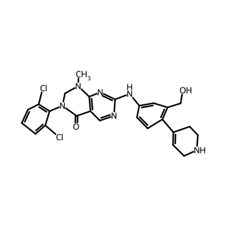 CN1CN(c2c(Cl)cccc2Cl)C(=O)c2cnc(Nc3ccc(C4=CCNCC4)c(CO)c3)nc21